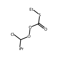 CCSC(=O)OOC(Cl)C(C)C